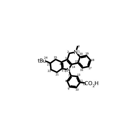 CN1Cc2c3c(n(-c4cccc(C(=O)O)c4)c2-c2ccccc21)CCC(C(C)(C)C)C3